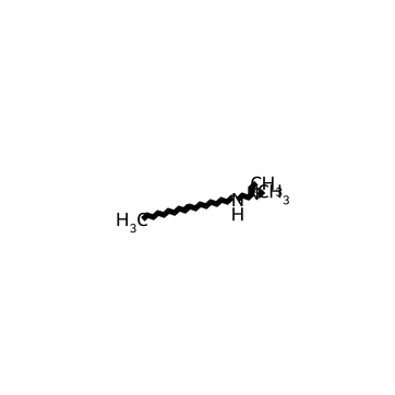 CCCCCCCCC=CCCCCCCCCNCCN(CC)CC